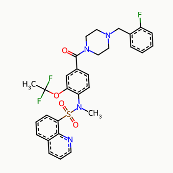 CN(c1ccc(C(=O)N2CCN(Cc3ccccc3F)CC2)cc1OC(C)(F)F)S(=O)(=O)c1cccc2cccnc12